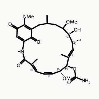 CNC1=C2CC(C)CC(OC)[C@@H](O)[C@H](C)/C=C(\C)[C@@H](OC(N)=O)[C@H](OC)/C=C\C=C(/C)C(=O)NC(=CC1=O)C2=O